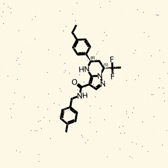 CCc1ccc([C@H]2C[C@@H](C(C)(F)F)n3ncc(C(=O)NCc4ccc(C)cc4)c3N2)cc1